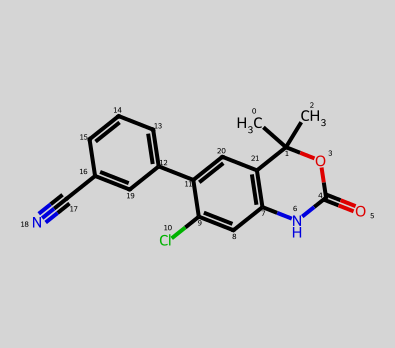 CC1(C)OC(=O)Nc2cc(Cl)c(-c3cccc(C#N)c3)cc21